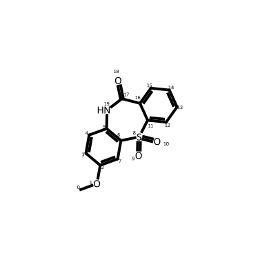 COc1ccc2c(c1)S(=O)(=O)c1ccccc1C(=O)N2